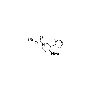 CNC1CCN(C(=O)OC(C)(C)C)CC1c1ccccc1C